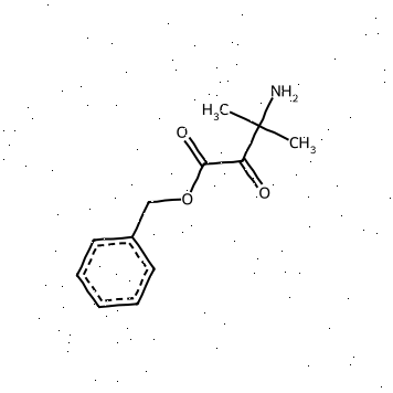 CC(C)(N)C(=O)C(=O)OCc1ccccc1